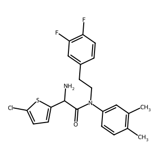 Cc1ccc(N(CCc2ccc(F)c(F)c2)C(=O)C(N)c2ccc(Cl)s2)cc1C